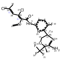 C=N/C(C(=O)Nc1ccc(F)c([C@]2(C)CO[C@@](C)(C(F)(F)F)C(N)=N2)n1)=C(Cl)\C=C(/C)Cl